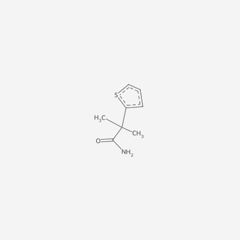 CC(C)(C(N)=O)c1cccs1